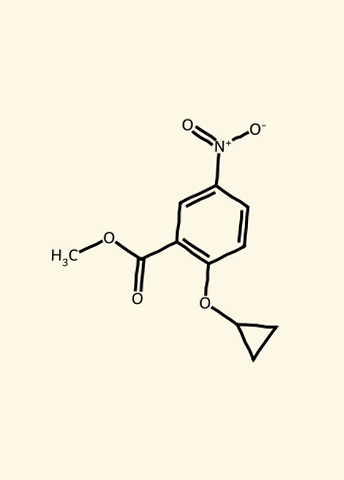 COC(=O)c1cc([N+](=O)[O-])ccc1OC1CC1